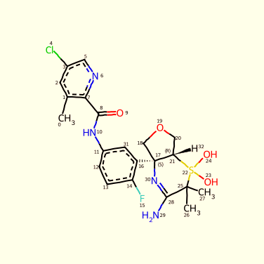 Cc1cc(Cl)cnc1C(=O)Nc1ccc(F)c([C@]23COC[C@@H]2S(O)(O)C(C)(C)C(N)=N3)c1